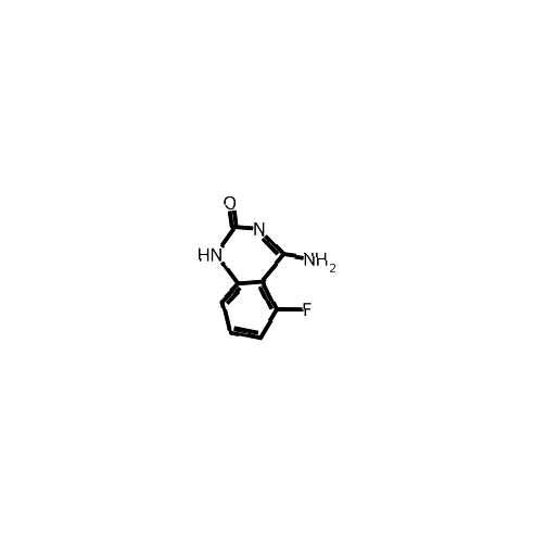 Nc1nc(=O)[nH]c2cccc(F)c12